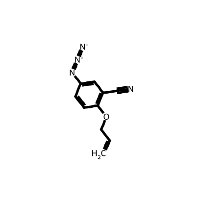 C=CCOc1ccc(N=[N+]=[N-])cc1C#N